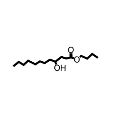 CCCCCCCCC(O)CCC(=O)OCCCC